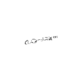 CN[C@H](CO)Cc1ccc(OCc2ccc(Cc3ccccc3)cc2)cc1